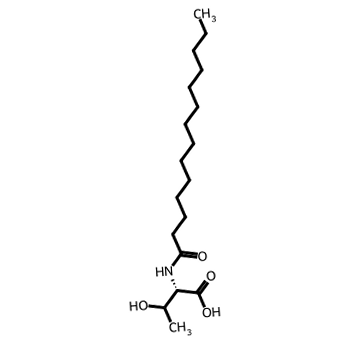 CCCCCCCCCCCCCC(=O)N[C@H](C(=O)O)C(C)O